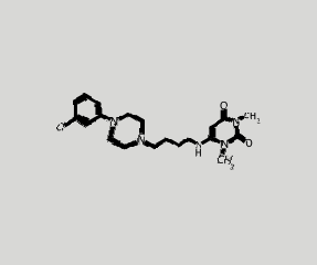 Cn1c(NCCCCN2CCN(c3cccc(Cl)c3)CC2)cc(=O)n(C)c1=O